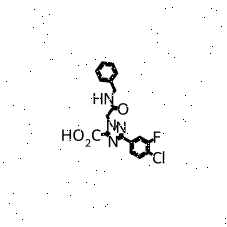 O=C(Cn1nc(-c2ccc(Cl)c(F)c2)nc1C(=O)O)NCc1ccccc1